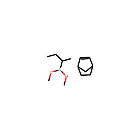 C1=CC2CCC1C2.CCC(C)[Si](OC)OC